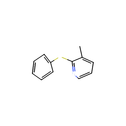 Cc1cccnc1Sc1ccccc1